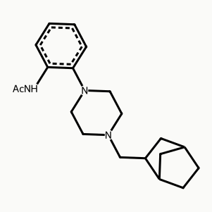 CC(=O)Nc1ccccc1N1CCN(CC2CC3CCC2C3)CC1